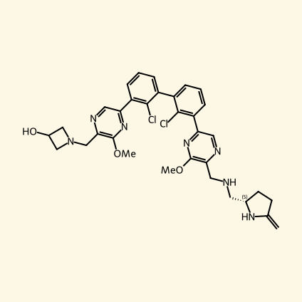 C=C1CC[C@@H](CNCc2ncc(-c3cccc(-c4cccc(-c5cnc(CN6CC(O)C6)c(OC)n5)c4Cl)c3Cl)nc2OC)N1